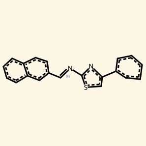 C(=N\c1nc(-c2ccccc2)cs1)/c1ccc2ccccc2c1